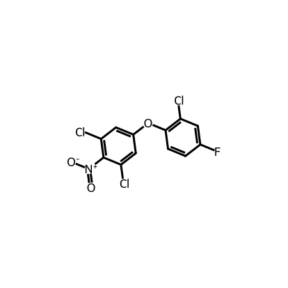 O=[N+]([O-])c1c(Cl)cc(Oc2ccc(F)cc2Cl)cc1Cl